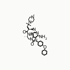 C[C@@H](Cn1c(=O)n(-c2ccc(Oc3ccccc3)cc2)c2c(N)ncnc21)NC(=O)/C(C#N)=C/C(C)(C)N1CCN(C)CC1